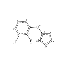 Fc1cccc(On2cc[c]n2)c1F